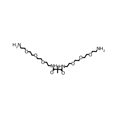 CC(C)(C(=O)NCCOCCOCCOCCN)C(=O)NCCOCCOCCOCCN